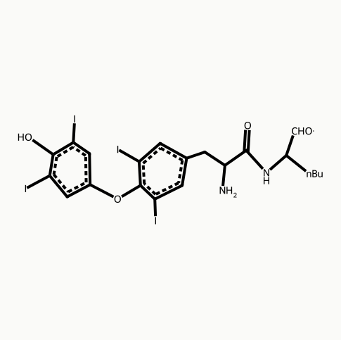 CCCCC([C]=O)NC(=O)C(N)Cc1cc(I)c(Oc2cc(I)c(O)c(I)c2)c(I)c1